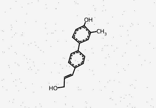 Cc1cc(-c2ccc(/C=C/CO)cc2)ccc1O